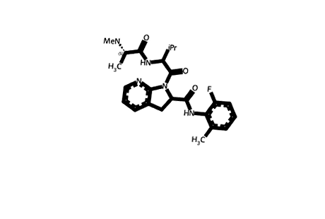 CN[C@@H](C)C(=O)NC(C(=O)N1c2ncccc2CC1C(=O)Nc1c(C)cccc1F)C(C)C